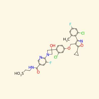 Cc1cc(F)cc(Cl)c1-c1noc(C2CC2)c1COc1ccc(C2(O)CN(c3ncc(C(=O)NCCS(=O)(=O)O)cc3F)C2)c(Cl)c1